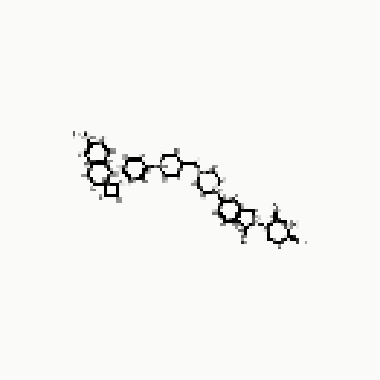 O=C1CC[C@@H](N2Cc3cc(N4CCN(CC5CCN(c6ccc([C@@H]7c8ccc(O)cc8CCC78CCC8)cc6)CC5)CC4)ccc3C2=O)C(=O)N1